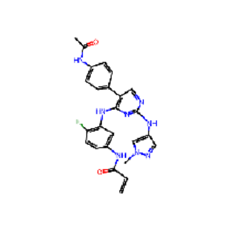 C=CC(=O)Nc1ccc(F)c(Nc2nc(Nc3cnn(C)c3)ncc2-c2ccc(NC(C)=O)cc2)c1